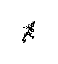 CC(C)(C)c1ccc(-c2c(C(=O)O)n(Cc3cc(OCCN4CCOCC4)cc(OCC4CC4)c3)c3ccccc23)cc1